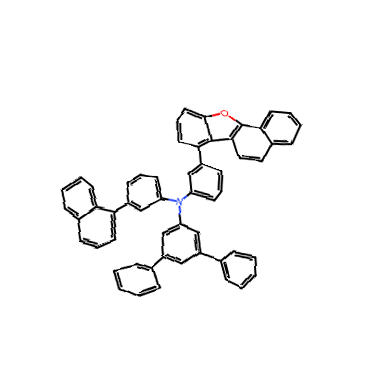 c1ccc(-c2cc(-c3ccccc3)cc(N(c3cccc(-c4cccc5ccccc45)c3)c3cccc(-c4cccc5oc6c7ccccc7ccc6c45)c3)c2)cc1